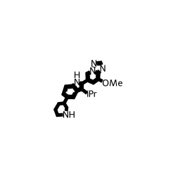 COc1cc(-c2[nH]c3ccc(C4CCCNC4)cc3c2C(C)C)cn2ncnc12